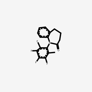 Cc1c(F)c(F)c(F)c(F)c1N1C(=O)CCCc2ccccc21